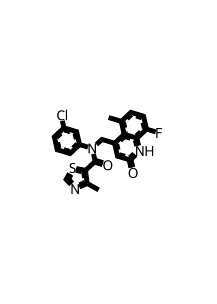 Cc1ncsc1C(=O)N(Cc1cc(=O)[nH]c2c(F)ccc(C)c12)c1cccc(Cl)c1